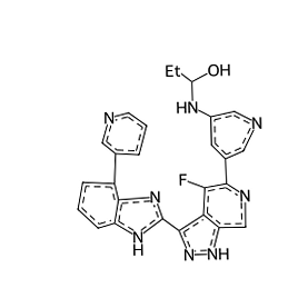 CCC(O)Nc1cncc(-c2ncc3[nH]nc(-c4nc5c(-c6cccnc6)cccc5[nH]4)c3c2F)c1